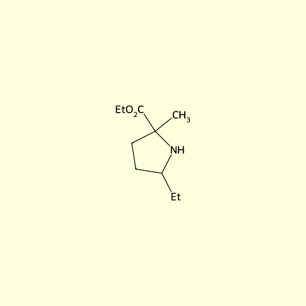 CCOC(=O)C1(C)CCC(CC)N1